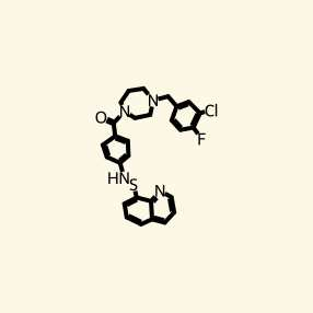 O=C(c1ccc(NSc2cccc3cccnc23)cc1)N1CCCN(Cc2ccc(F)c(Cl)c2)CC1